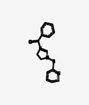 O=C(c1ccccc1)S1=CN(Sc2ccccn2)CC1